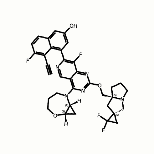 C#Cc1c(F)ccc2cc(O)cc(-c3ncc4c(N5CCCO[C@H]6C[C@H]65)nc(OC[C@@]56CCCN5C[C@@]5(CC5(F)F)C6)nc4c3F)c12